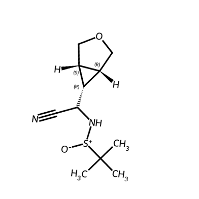 CC(C)(C)[S+]([O-])NC(C#N)[C@@H]1[C@@H]2COC[C@@H]21